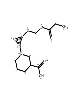 CCC(=O)OCOn1on1N1CCCC(C(=O)O)C1